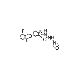 O=C(NCCN1CCOCC1)Nc1nc2ccc(OCc3c(F)cccc3F)cc2s1